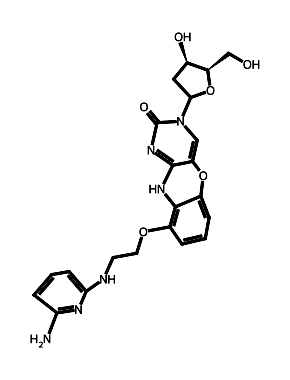 Nc1cccc(NCCOc2cccc3c2Nc2nc(=O)n(C4C[C@@H](O)[C@@H](CO)O4)cc2O3)n1